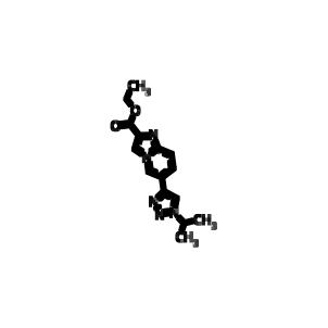 CCOC(=O)c1cn2cc(-c3cn(C(C)C)nn3)ccc2n1